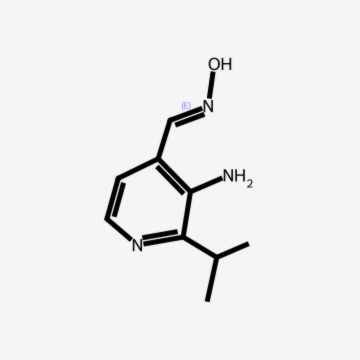 CC(C)c1nccc(/C=N/O)c1N